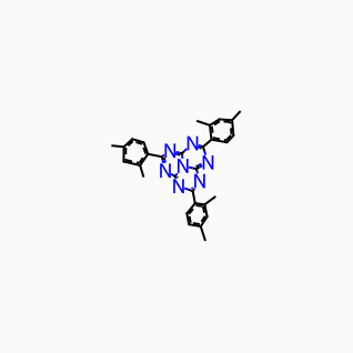 Cc1ccc(C2=NC3=NC(c4ccc(C)cc4C)=NC4=NC(c5ccc(C)cc5C)=NC(=N2)N34)c(C)c1